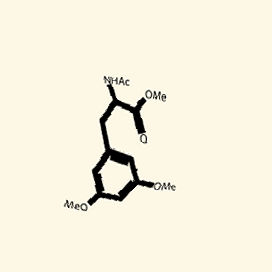 COC(=O)C(Cc1cc(OC)cc(OC)c1)NC(C)=O